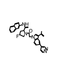 C=C(C)c1cn(CC(=O)N2C[C@H](F)CC2C(=C)Nc2ccc3ccccc3c2)c2ccc(-c3ccnnc3)cc12